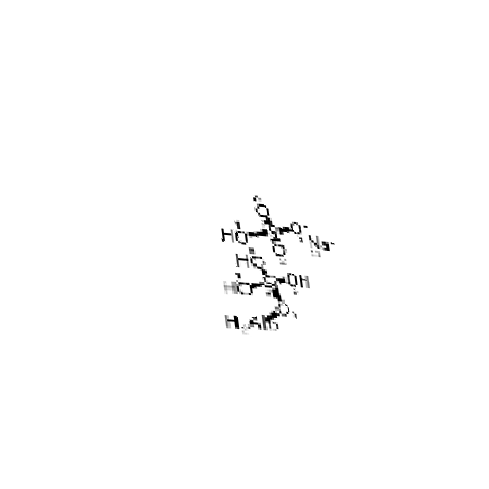 O=S(=O)([O-])O.O[Si](O)(O)[O][AlH2].[Na+]